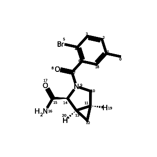 Cc1ccc(Br)c(C(=O)N2C[C@H]3C[C@H]3[C@H]2C(N)=O)c1